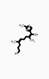 CC(=CCCC(C)=C(O)c1csc(C)n1)CCCC(C)C